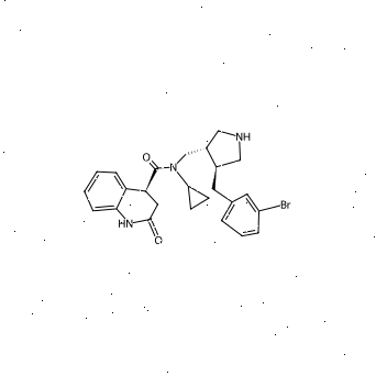 O=C1C[C@H](C(=O)N(C[C@@H]2CNC[C@H]2Cc2cccc(Br)c2)C2CC2)c2ccccc2N1